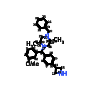 COc1cccc(C(c2ccc(C3CNC3)cc2)N2C[C@@H](C)N(Cc3ccccc3)C[C@@H]2C)c1